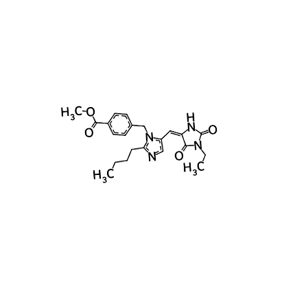 CCCCc1ncc(C=C2NC(=O)N(CC)C2=O)n1Cc1ccc(C(=O)OC)cc1